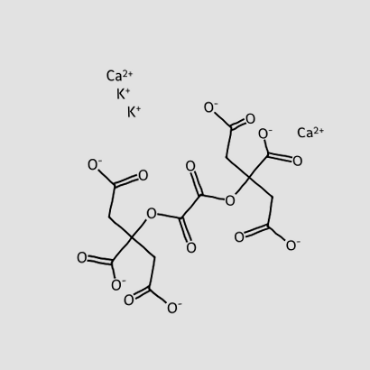 O=C([O-])CC(CC(=O)[O-])(OC(=O)C(=O)OC(CC(=O)[O-])(CC(=O)[O-])C(=O)[O-])C(=O)[O-].[Ca+2].[Ca+2].[K+].[K+]